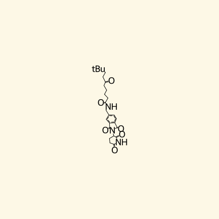 CC(C)(C)CCC(=O)CCCCC(=O)NCc1ccc2c(c1)C(=O)N(C1CCC(=O)NC1=O)C2=O